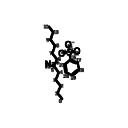 CCCCCCCCCCCC.O=S(=O)([O-])c1ccccc1.[Na+]